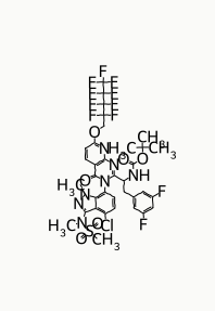 CN(c1nn(C)c2c(-n3c(C(Cc4cc(F)cc(F)c4)NC(=O)OC(C)(C)C)nc4nc(OCC(F)(F)C(F)(F)C(F)(F)C(F)(F)F)ccc4c3=O)ccc(Cl)c12)S(C)(=O)=O